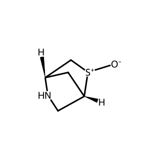 [O-][S+]1C[C@@H]2C[C@H]1CN2